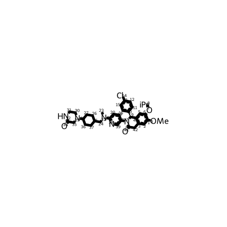 COc1cc2c(cc1OC(C)C)[C@H](c1ccc(Cl)cc1)N(c1ccc(N(C)CC3CCC(N4CCNC(=O)C4)CC3)nc1)C(=O)C2